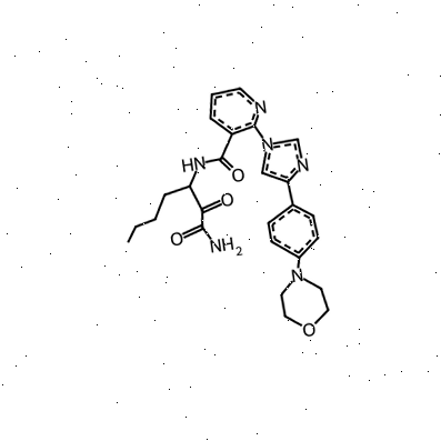 CCCCC(NC(=O)c1cccnc1-n1cnc(-c2ccc(N3CCOCC3)cc2)c1)C(=O)C(N)=O